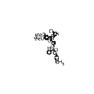 COc1ccc([C@H](Cc2c(Cl)cncc2Cl)OC(=O)c2ccc(CNC(C(=O)OCC3CCN(C)CC3)C3CCCCC3)s2)cc1OC